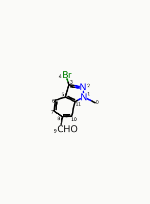 Cn1nc(Br)c2ccc(C=O)cc21